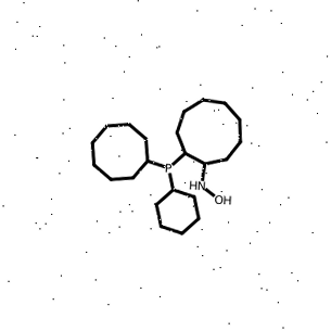 ONC1CCCCCCCC1P(C1CCCCCCC1)C1CCCCC1